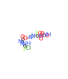 COc1cc2ncnc(Nc3ccc(F)c(Cl)c3)c2cc1OCCCN1CCN(Cc2ccc3c(c2F)C(=O)N(C2CCC(=O)NC2=O)C3=O)CC1